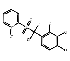 O=S(=O)(c1cccc[n+]1[O-])C(Cl)(Cl)c1ccc(Cl)c(Cl)c1Cl